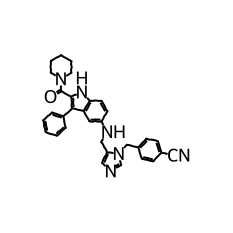 N#Cc1ccc(Cn2cncc2CNc2ccc3[nH]c(C(=O)N4CCCCC4)c(-c4ccccc4)c3c2)cc1